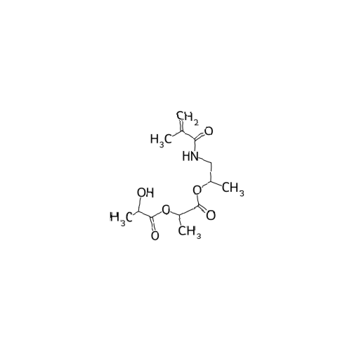 C=C(C)C(=O)NCC(C)OC(=O)C(C)OC(=O)C(C)O